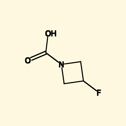 O=C(O)N1CC(F)C1